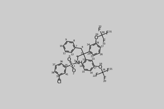 O=S(=O)(NCC(Cc1ccccc1)(c1cccc(OC(F)(F)F)c1)c1cccc(OC(F)(F)F)c1)c1cccc(Cl)c1